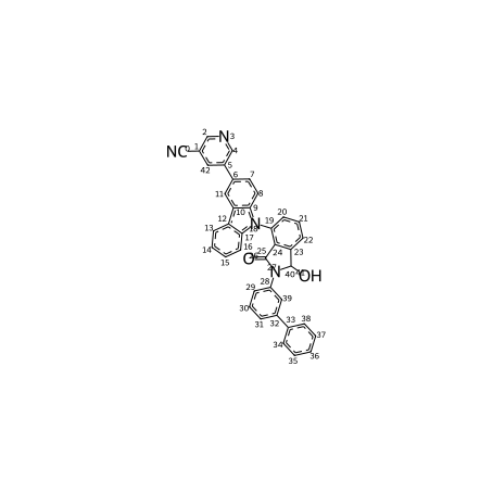 N#Cc1cncc(-c2ccc3c(c2)c2ccccc2n3-c2cccc3c2C(=O)N(c2cccc(-c4ccccc4)c2)C3O)c1